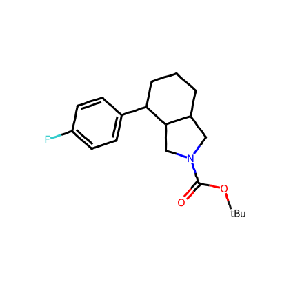 CC(C)(C)OC(=O)N1CC2CCCC(c3ccc(F)cc3)C2C1